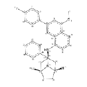 COc1cc(-c2ccc(F)cc2)cc2c(N[C@@H]3C[C@H]4CC[C@@H](C3)N4Cc3ccccc3)ncnc12